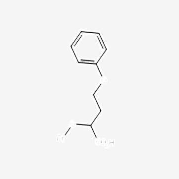 CCOC(CCOc1ccccc1)C(=O)O